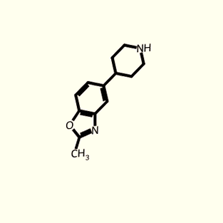 Cc1nc2cc(C3CCNCC3)ccc2o1